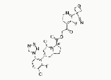 N#CC1(c2nccc(C(=O)COC(=O)[C@H]3CCC4CC(c5c(-n6cnnn6)ccc(Cl)c5F)=CC(=O)N43)c2F)COC1